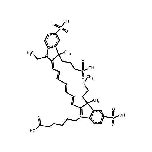 CCN1/C(=C/C=C/C=C/C=C/C2=[N+](CCCCCC(=O)O)c3ccc(S(=O)(=O)O)cc3C2(C)CCOC)C(C)(CCCS(=O)(=O)O)c2cc(S(=O)(=O)O)ccc21